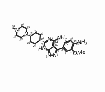 COc1cc(-c2nnc3[nH]c([C@H]4CC[C@@H](N5CCN(C)CC5)CC4)nc(N)c2-3)ccc1N